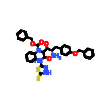 N[C@@H](Cc1ccc(OCc2ccccc2)cc1)C(=O)C(C(=O)Nc1n[nH]c(=S)s1)N(C(=O)OCc1ccccc1)c1ccccc1